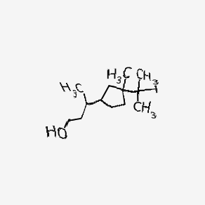 CC(CCO)C1CCC(C)(C(C)(C)I)C1